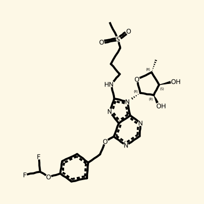 C[C@H]1O[C@@H](n2c(NCCCS(C)(=O)=O)nc3c(OCc4ccc(OC(F)F)cc4)ncnc32)[C@H](O)[C@@H]1O